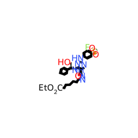 CCOC(=O)CCCCCc1nnc(-c2cnc(Nc3ccc(S(C)(=O)=O)c(F)c3)nc2N[C@H](CO)c2ccccc2)o1